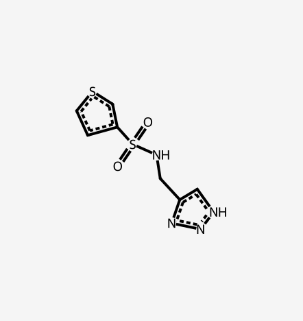 O=S(=O)(NCc1c[nH]nn1)c1ccsc1